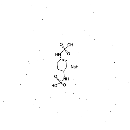 O=S(=O)(O)NC1=CCC(NS(=O)(=O)O)CC1.[NaH]